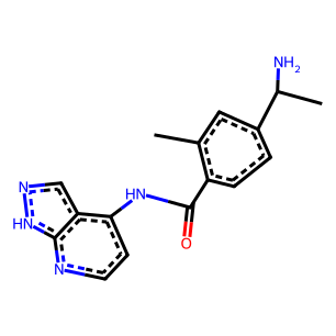 Cc1cc(C(C)N)ccc1C(=O)Nc1ccnc2[nH]ncc12